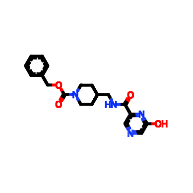 O=C(NCC1CCN(C(=O)OCc2ccccc2)CC1)c1cncc(O)n1